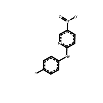 O=[N+]([O-])c1ccc(Nc2ccc(F)cc2)nc1